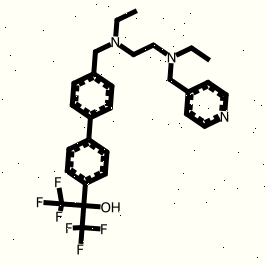 CCN(CCN(CC)Cc1ccc(-c2ccc(C(O)(C(F)(F)F)C(F)(F)F)cc2)cc1)Cc1ccncc1